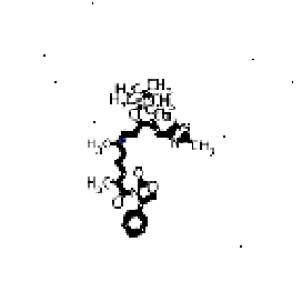 CC(=Cc1csc(C)n1)C(C/C=C(/C)CCC[C@H](C)C(=O)N1C(=O)OCC1c1ccccc1)O[Si](C)(C)C(C)(C)C